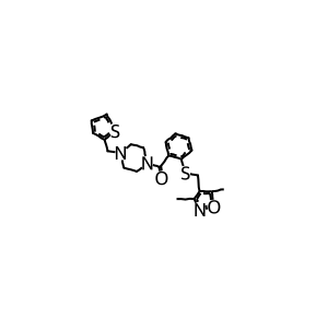 Cc1noc(C)c1CSc1ccccc1C(=O)N1CCN(Cc2cccs2)CC1